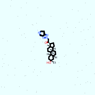 CC[C@@]1(O)CC[C@H]2[C@H](CC[C@@]3(C)[C@@H]4CC[C@H](C(=O)Cn5nc6ccncc6n5)[C@@]4(C)CC[C@H]23)C1